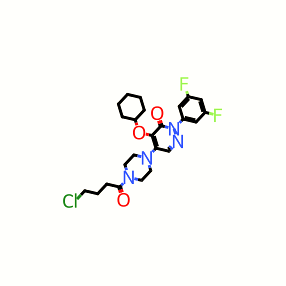 O=C(CCCCl)N1CCN(c2cnn(-c3cc(F)cc(F)c3)c(=O)c2OC2CCCCC2)CC1